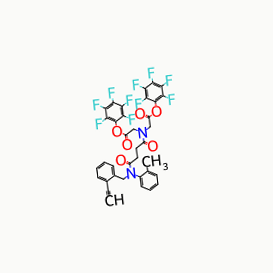 C#Cc1ccccc1CN(C(=O)CCC(=O)N(CC(=O)Oc1c(F)c(F)c(F)c(F)c1F)CC(=O)Oc1c(F)c(F)c(F)c(F)c1F)c1ccccc1C